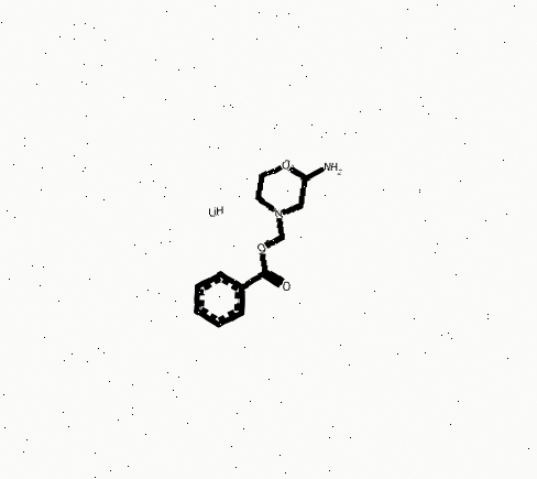 NC1CN(COC(=O)c2ccccc2)CCO1.[LiH]